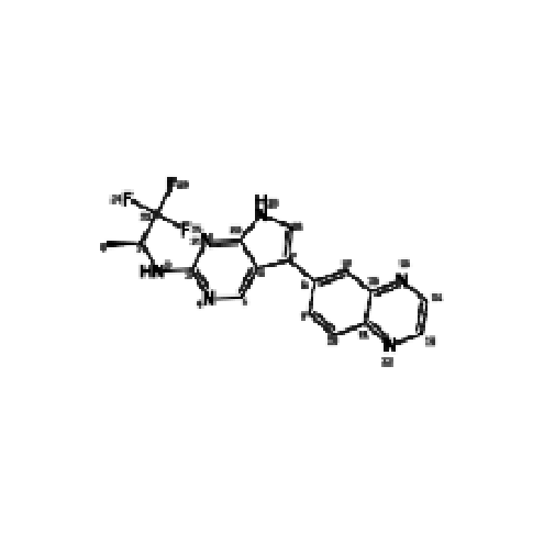 C[C@H](Nc1ncc2c(-c3ccc4nccnc4c3)c[nH]c2n1)C(F)(F)F